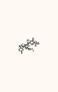 Cc1nc2ccc(F)cc2n1-c1nc(N)cc(Nc2ccc(OC(F)F)c(F)c2)n1